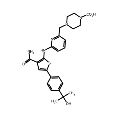 CC(C)(O)c1ccc(-c2cc(C(N)=O)c(Nc3cccc(CN4CCN(C(=O)O)CC4)n3)s2)cc1